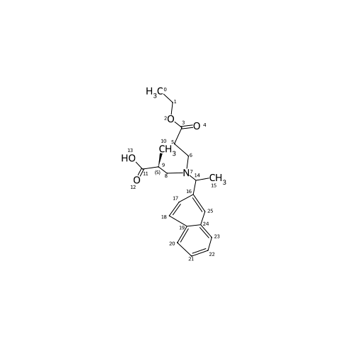 CCOC(=O)CCN(C[C@H](C)C(=O)O)C(C)c1ccc2ccccc2c1